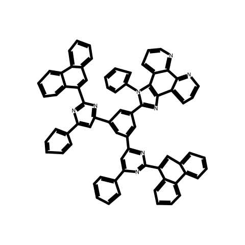 c1ccc(-c2cc(-c3cc(-c4cc(-c5ccccc5)nc(-c5cc6ccccc6c6ccccc56)n4)cc(-c4nc5c6cccnc6c6ncccc6c5n4-c4ccccc4)c3)nc(-c3cc4ccccc4c4ccccc34)n2)cc1